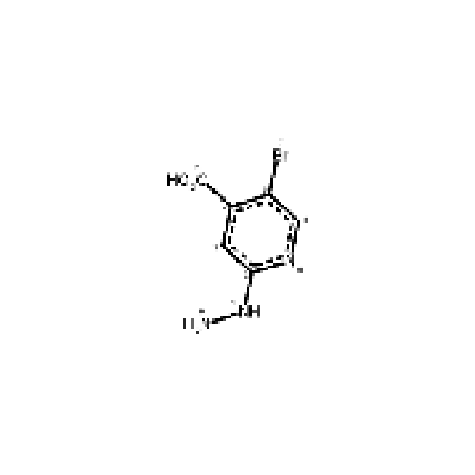 NNc1cc(C(=O)O)c(Br)cn1